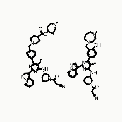 CN1CCC(OC(=O)C2CCN(Cc3ccc(-c4nc(-c5cnn6ccccc56)nc(N[C@@H]5CCCN(C(=O)CC#N)C5)c4F)cc3)CC2)CC1.CN1CCCN(Cc2cc(-c3nc(-c4cnn5ccccc45)nc(N[C@@H]4CCCN(C(=O)CC#N)C4)c3F)ccc2O)CC1